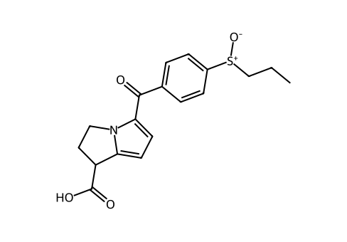 CCC[S+]([O-])c1ccc(C(=O)c2ccc3n2CCC3C(=O)O)cc1